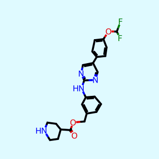 O=C(OCc1cccc(Nc2ncc(-c3ccc(OC(F)F)cc3)cn2)c1)C1CCNCC1